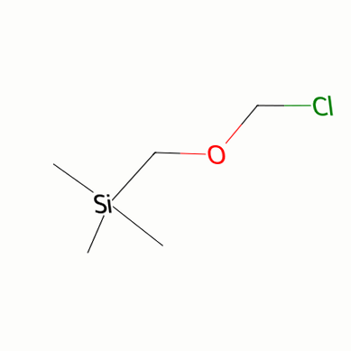 C[Si](C)(C)COCCl